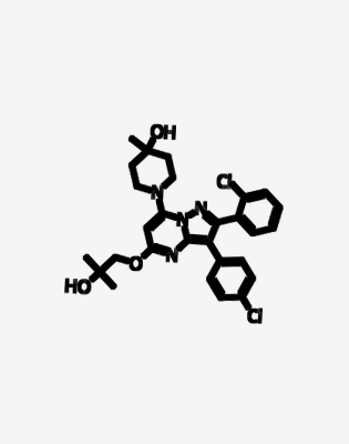 CC(C)(O)COc1cc(N2CCC(C)(O)CC2)n2nc(-c3ccccc3Cl)c(-c3ccc(Cl)cc3)c2n1